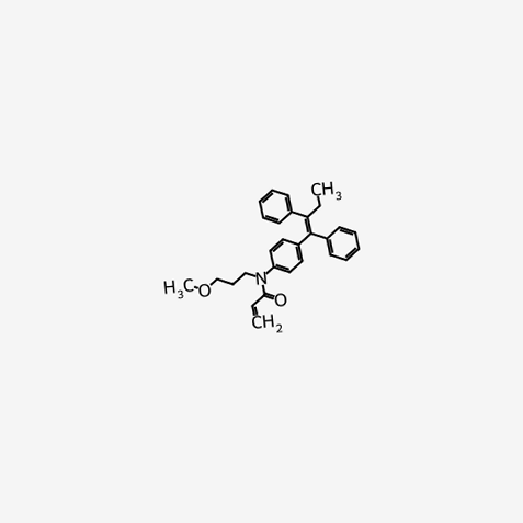 C=CC(=O)N(CCCOC)c1ccc(C(=C(CC)c2ccccc2)c2ccccc2)cc1